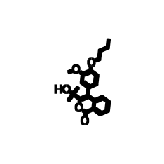 CCCCOc1ccc(-c2c(C(C)(C)O)oc(=O)c3ccccc23)cc1OC